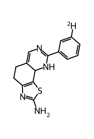 [2H]c1cccc(C2=NC=C3CCc4nc(N)sc4C3N2)c1